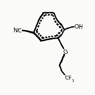 N#Cc1ccc(O)c(OCC(F)(F)F)c1